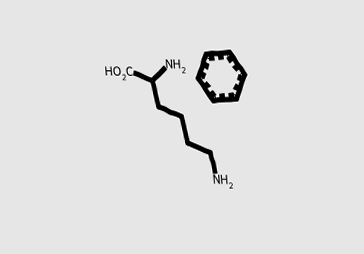 NCCCCC(N)C(=O)O.c1ccccc1